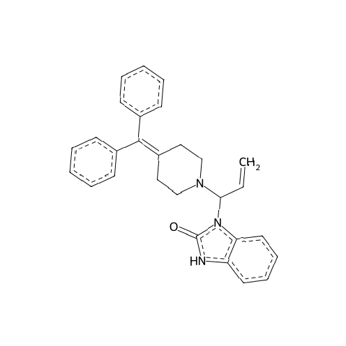 C=CC(N1CCC(=C(c2ccccc2)c2ccccc2)CC1)n1c(=O)[nH]c2ccccc21